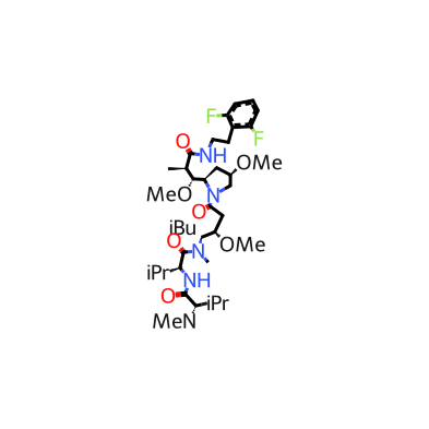 CC[C@H](C)[C@@H]([C@@H](CC(=O)N1C[C@H](OC)C[C@@H]1[C@H](OC)[C@@H](C)C(=O)NCCc1c(F)cccc1F)OC)N(C)C(=O)[C@@H](NC(=O)[C@@H](NC)C(C)C)C(C)C